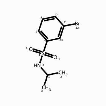 CC(C)NS(=O)(=O)c1cccc(Br)c1